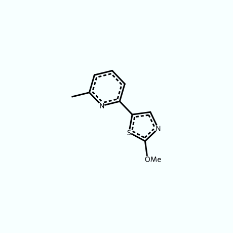 COc1ncc(-c2cccc(C)n2)s1